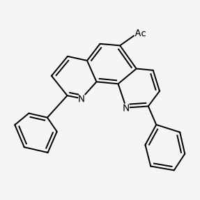 CC(=O)c1cc2ccc(-c3ccccc3)nc2c2nc(-c3ccccc3)ccc12